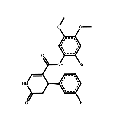 COc1cc(Br)c(NC(=O)C2=CNC(=O)C[C@@H]2c2cccc(F)c2)cc1OC